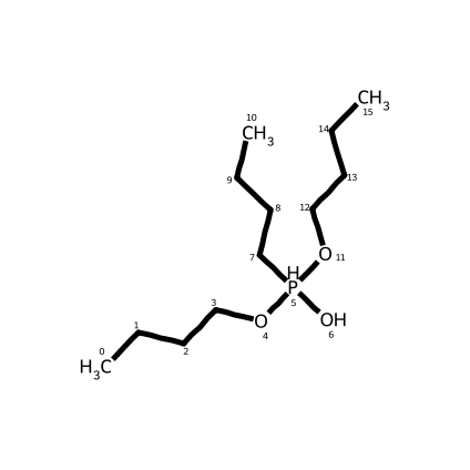 CCCCO[PH](O)(CCCC)OCCCC